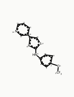 FC(F)(F)Oc1ccc(Nc2nc(-c3cccnc3)cs2)cc1